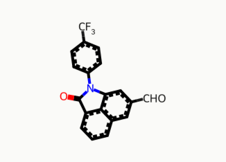 O=Cc1cc2c3c(cccc3c1)C(=O)N2c1ccc(C(F)(F)F)cc1